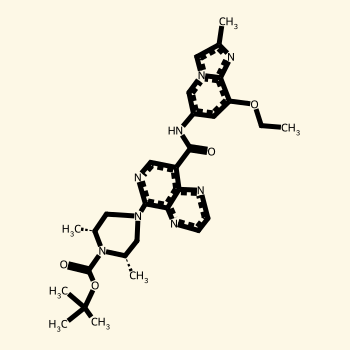 CCOc1cc(NC(=O)c2cnc(N3C[C@@H](C)N(C(=O)OC(C)(C)C)[C@@H](C)C3)c3nccnc23)cn2cc(C)nc12